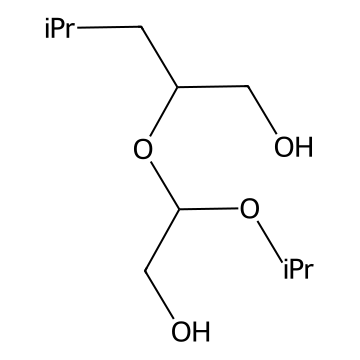 CC(C)CC(CO)OC(CO)OC(C)C